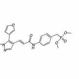 COP(=O)(Cc1ccc(NC(=O)C=Cc2cnn(C)c2-c2ccoc2)cc1)OC